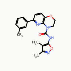 Cc1noc(NC(=O)N2CCOc3ccc(-c4cccc(C(F)(F)F)c4)nc32)c1C